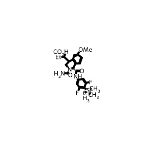 CCC(C(=O)O)C1CN(C(N)=O)[C@@H](C(=O)Nc2cc(F)c([Si](C)(C)C)c(F)c2)c2ccc(OC)cc21